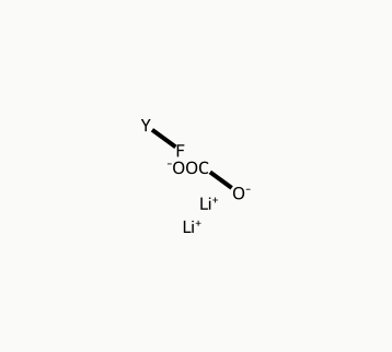 O=C([O-])[O-].[F][Y].[Li+].[Li+]